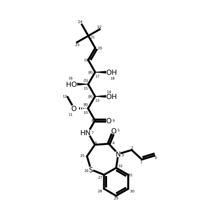 C=CCN1C(=O)C(NC(=O)[C@H](OC)[C@H](O)[C@@H](O)[C@H](O)C=CC(C)(C)C)CSc2ccccc21